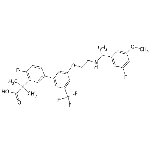 COc1cc(F)cc([C@@H](C)NCCOc2cc(-c3ccc(F)c(C(C)(C)C(=O)O)c3)cc(C(F)(F)F)c2)c1